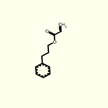 C=CC(=O)OCCCc1ccccc1